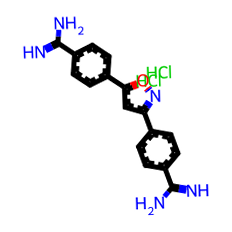 Cl.Cl.N=C(N)c1ccc(-c2cc(-c3ccc(C(=N)N)cc3)on2)cc1